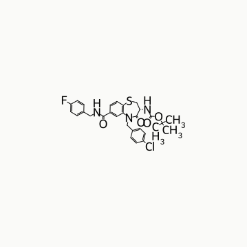 CC(C)(C)OC(=O)N[C@H]1CSc2ccc(C(=O)NCc3ccc(F)cc3)cc2N(Cc2ccc(Cl)cc2)C1=O